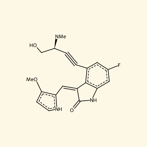 CN[C@@H](C#Cc1cc(F)cc2c1/C(=C/c1[nH]ccc1OC)C(=O)N2)CO